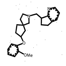 COc1ccccc1OC1CCC2(CCN(CC3CCc4cccnc43)C2)C1